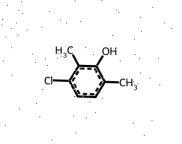 Cc1c[c]c(Cl)c(C)c1O